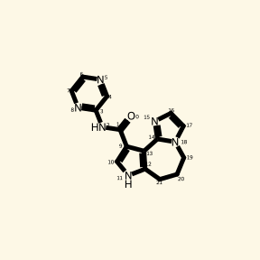 O=C(Nc1cnccn1)c1c[nH]c2c1-c1nccn1CCC2